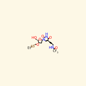 CCSSCOC1C[C@H](n2cc(C#CCNC(=O)C(F)(F)F)c(=O)[nH]c2=O)O[C@@H]1CO